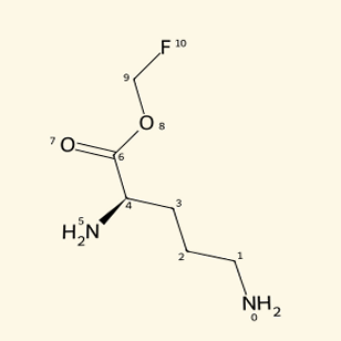 NCCC[C@@H](N)C(=O)OCF